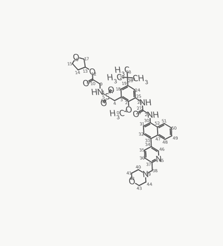 COc1c(CS(=O)(=O)NCC(=O)OC2CCOC2)cc(C(C)(C)C)cc1NC(=O)Nc1ccc(-c2ccc(CN3CCOCC3)nc2)c2ccccc12